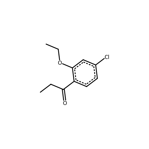 CCOc1cc(Cl)ccc1C(=O)CC